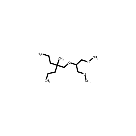 CCCC(C)(CCC)COC(CON)CON